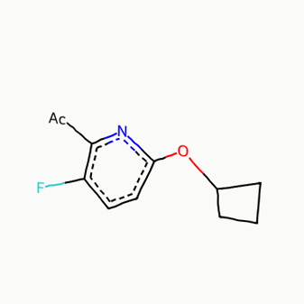 CC(=O)c1nc(OC2CCC2)ccc1F